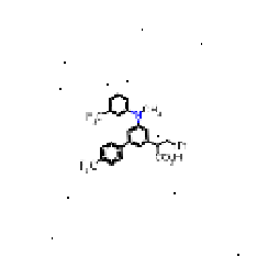 CC(C)CC(C(=O)O)c1cc(-c2ccc(C(F)(F)F)cc2)cc(N(C)c2cccc(C(F)(F)F)c2)c1